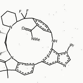 CNC(=O)c1cc2ccc1C(F)(F)C1CCCCN1[C@H]1C[C@H](C1)N1C(=O)C(C)(C)c3ccc(cc31)-c1cc3ncn(C(C)C)c3c(n1)N2